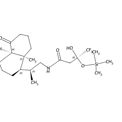 C[C@H](CNC(=O)C[C@@](O)(O[Si](C)(C)C)C(F)(F)F)[C@H]1CCC[C@H]2C(=O)CCC[C@@]12C